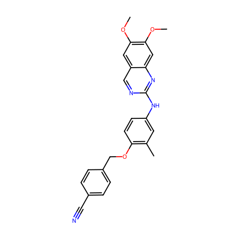 COc1cc2cnc(Nc3ccc(OCc4ccc(C#N)cc4)c(C)c3)nc2cc1OC